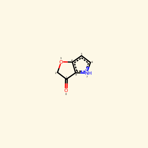 O=C1COc2cc[nH]c21